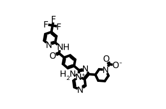 N[N+]12C=CN=CC1=C(C1CCCN(C(=O)[O-])C1)N=C2c1ccc(C(=O)Nc2cc(C(F)(F)F)ccn2)cc1